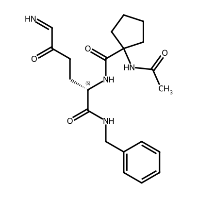 CC(=O)NC1(C(=O)N[C@@H](CCC(=O)C=N)C(=O)NCc2ccccc2)CCCC1